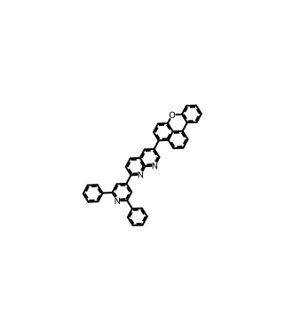 c1ccc(-c2cc(-c3ccc4cc(-c5ccc6c7c(cccc57)-c5ccccc5O6)cnc4n3)cc(-c3ccccc3)n2)cc1